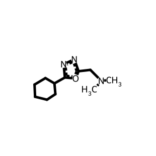 CN(C)Cc1nnc(C2CCCCC2)o1